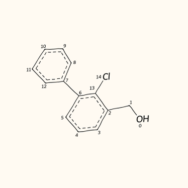 OCc1cccc(-c2ccccc2)c1Cl